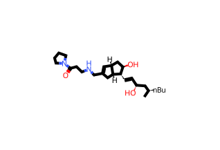 CCCC[C@H](C)C[C@H](O)/C=C/[C@@H]1[C@H]2CC(CNCCC(=O)N3CCCC3)=C[C@H]2C[C@H]1O